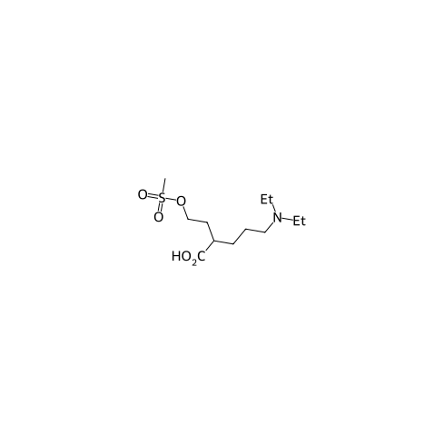 CCN(CC)CCCC(CCOS(C)(=O)=O)C(=O)O